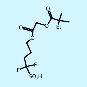 CCC(C)(C)C(=O)OCC(=O)OCCCC(F)(F)S(=O)(=O)O